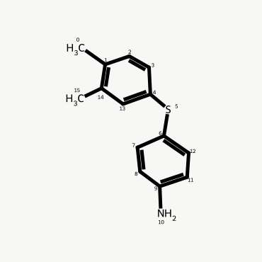 Cc1ccc(Sc2ccc(N)cc2)cc1C